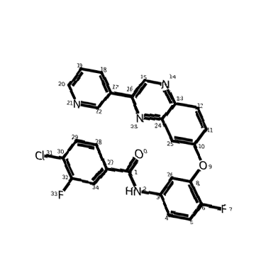 O=C(Nc1ccc(F)c(Oc2ccc3ncc(-c4cccnc4)nc3c2)c1)c1ccc(Cl)c(F)c1